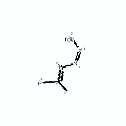 CCCC/N=N\N=C(/C)C(C)C